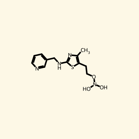 Cc1nc(NCc2cccnc2)sc1CCON(O)O